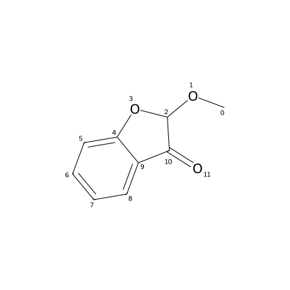 COC1Oc2ccccc2C1=O